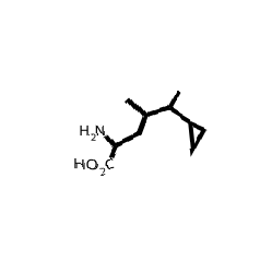 CC(CC(N)C(=O)O)C(C)C1CC1